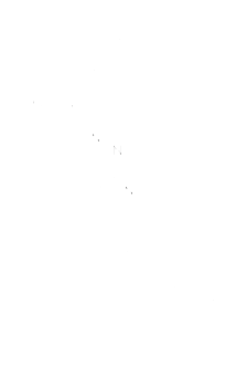 O=CO/C(Cc1ccccc1)=N/Nc1nc(-c2ccc(C3CCCCC3)cc2)cs1